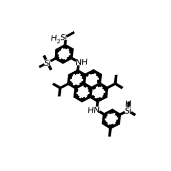 C[SiH2]c1cc(Nc2cc(C(C)C)c3ccc4c(Nc5cc(C)cc([SiH](C)C)c5)cc(C(C)C)c5ccc2c3c45)cc([Si](C)(C)C)c1